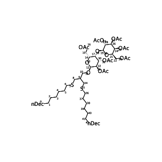 CCCCCCCCCCCCCCCCSCC(CO[C@H]1O[C@H](COC(C)=O)[C@H](O[C@@H]2O[C@H](COC(C)=O)[C@H](OC(C)=O)[C@H](OC(C)=O)[C@H]2OC(C)=O)[C@H](OC(C)=O)[C@H]1OC(C)=O)CSCCCCCCCCCCCCCCCC